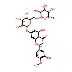 COc1ccc([C@@H]2CC(=O)c3c(O)cc(O[C@@H]4OC(CO[C@@H]5O[C@@H](C)[C@H](O)C(O)C5O)[C@@H](O)[C@H](O)C4O)cc3O2)cc1O